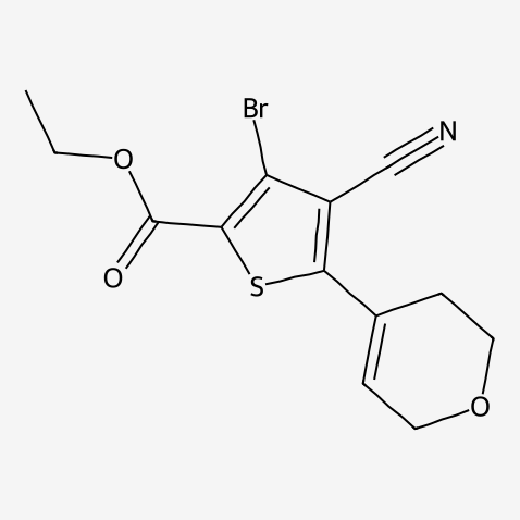 CCOC(=O)c1sc(C2=CCOCC2)c(C#N)c1Br